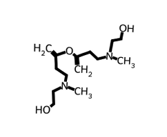 C=C(CCN(C)CCO)OC(=C)CCN(C)CCO